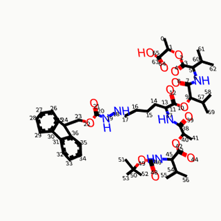 CC(OC(=O)C(NC(=O)C(OC(=O)C(CCCCNNC(=O)OCC1c2ccccc2-c2ccccc21)NC(=O)C(C)OC(=O)C(NC(=O)OC(C)(C)C)C(C)C)C(C)C)C(C)C)C(=O)O